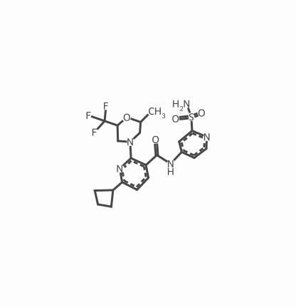 CC1CN(c2nc(C3CCC3)ccc2C(=O)Nc2ccnc(S(N)(=O)=O)c2)CC(C(F)(F)F)O1